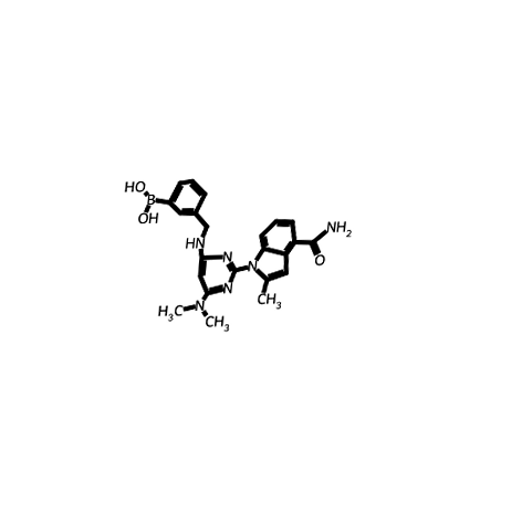 Cc1cc2c(C(N)=O)cccc2n1-c1nc(NCc2cccc(B(O)O)c2)cc(N(C)C)n1